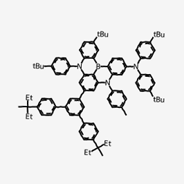 CCC(C)(CC)c1ccc(-c2cc(-c3ccc(C(C)(CC)CC)cc3)cc(-c3cc4c5c(c3)N(c3ccc(C)cc3)c3cc(N(c6ccc(C(C)(C)C)cc6)c6ccc(C(C)(C)C)cc6)ccc3B5c3cc(C(C)(C)C)ccc3N4c3ccc(C(C)(C)C)cc3)c2)cc1